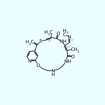 C=C1S/C=C(\C)C(=O)NC(/C=N\C)=C(/C)C(=O)NCCNCCOc2cc1ccn2